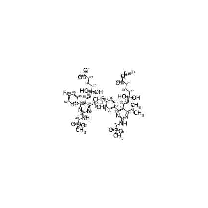 CC(C)c1nc(NCS(C)(=O)=O)nc(-c2ccc(F)cc2)c1C=CC(O)(O)CCCC(=O)[O-].CC(C)c1nc(NCS(C)(=O)=O)nc(-c2ccc(F)cc2)c1C=CC(O)(O)CCCC(=O)[O-].[Ca+2]